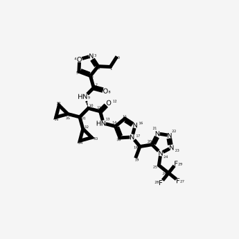 CCc1nocc1C(=O)N[C@H](C(=O)Nc1cnn(C(C)c2nnnn2CC(F)(F)F)c1)C(C1CC1)C1CC1